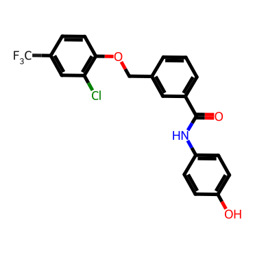 O=C(Nc1ccc(O)cc1)c1cccc(COc2ccc(C(F)(F)F)cc2Cl)c1